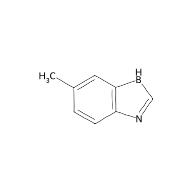 Cc1ccc2c(c1)BC=N2